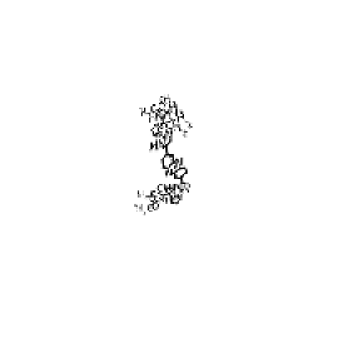 C=C(N[C@H](C(=C)N1CCC[C@H]1c1ncc(-c2ccc3nc4cc(-c5cnc([C@@H]6CCCN6C(=O)[C@@H](NC(=O)OC)C(C)C)[nH]5)ccc4nc3c2)[nH]1)C(C)C)OC